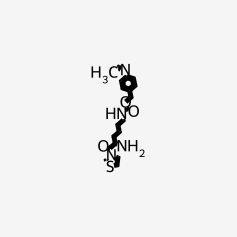 C/C=N\c1ccc(COC(=O)NCCCCC(N)C(=O)N2CCSC2)cc1